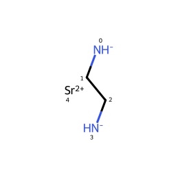 [NH-]CC[NH-].[Sr+2]